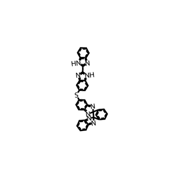 c1cc2cc(c1)C1(N=c3ccc(Sc4ccc5[nH]c(-c6nc7ccccc7[nH]6)nc5c4)cc3=N1)C21N=c2ccccc2=N1